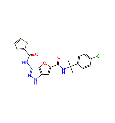 CC(C)(NC(=O)c1cc2[nH]nc(NC(=O)c3cccs3)c2o1)c1ccc(Cl)cc1